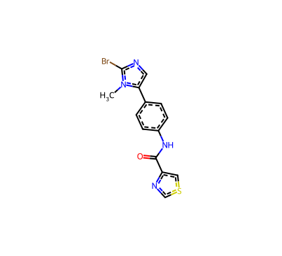 Cn1c(-c2ccc(NC(=O)c3cscn3)cc2)cnc1Br